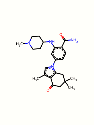 Cc1cn(-c2ccc(C(N)=O)c(NC3CCN(C)CC3)c2)c2c1C(=O)CC(C)(C)C2